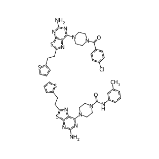 Cc1cccc(NC(=O)N2CCN(c3nc(N)nc4sc(CCc5cccs5)nc34)CC2)c1.Nc1nc(N2CCN(C(=O)c3ccc(Cl)cc3)CC2)c2nc(CCc3cccs3)sc2n1